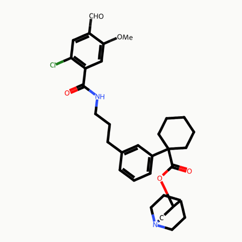 COc1cc(C(=O)NCCCc2cccc(C3(C(=O)OC4CN5CCC4CC5)CCCCC3)c2)c(Cl)cc1C=O